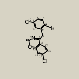 Clc1ccc(I)c(CC2=NCOc3cc(Cl)ccc32)c1